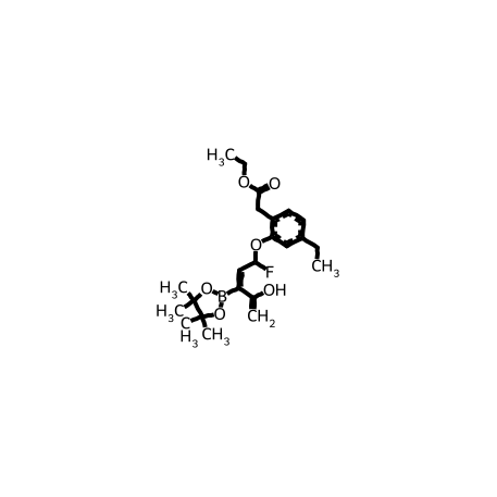 C=C(O)/C(=C\C(F)Oc1cc(CC)ccc1CC(=O)OCC)B1OC(C)(C)C(C)(C)O1